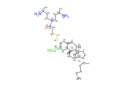 CC(C)CCCC(C)[C@H]1CC[C@H]2[C@@H]3CC=C4C[C@@H](SSCCC(=O)N(CCC(C)N)CCC(C)N)CC[C@]4(C)[C@H]3CC[C@]12C.Cl.Cl